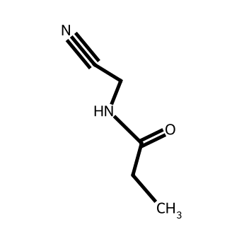 CCC(=O)NCC#N